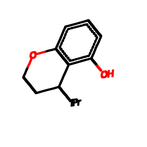 CC(C)C1CCOc2cccc(O)c21